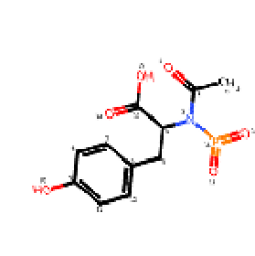 CC(=O)N(C(Cc1ccc(O)cc1)C(=O)O)P(=O)=O